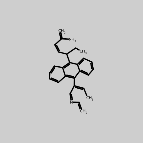 C=C/N=C\C(=C/C)c1c2ccccc2c(C(/C=C\C(=C)N)CC)c2ccccc12